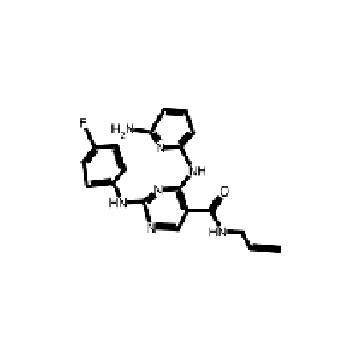 C=CCNC(=O)c1cnc(Nc2ccc(F)cc2)nc1Nc1cccc(N)n1